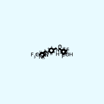 O=C(NCC1CCC(n2cc3cc(C(F)(F)F)ncc3n2)CC1)c1cc(F)c(O)c(F)c1